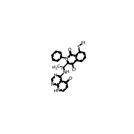 CCSc1cccc2c(Cl)c([C@H](C)Nc3ncnc4[nH]ccc(=O)c34)n(-c3ccccc3)c(=O)c12